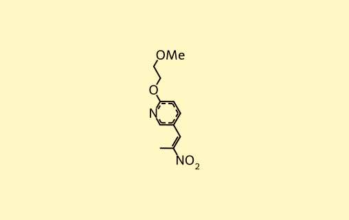 COCCOc1ccc(/C=C(\C)[N+](=O)[O-])cn1